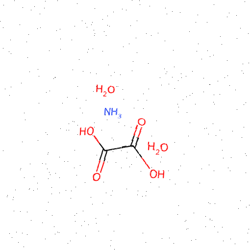 N.O.O.O=C(O)C(=O)O